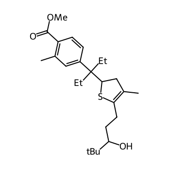 CCC(CC)(c1ccc(C(=O)OC)c(C)c1)C1CC(C)=C(CCC(O)C(C)(C)C)S1